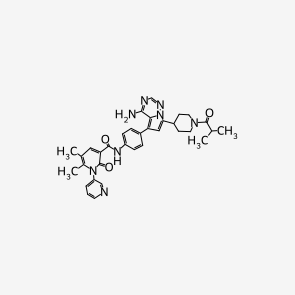 Cc1cc(C(=O)Nc2ccc(-c3cc(C4CCN(C(=O)C(C)C)CC4)n4ncnc(N)c34)cc2)c(=O)n(-c2cccnc2)c1C